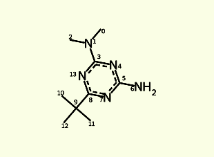 CN(C)c1nc(N)nc(C(C)(C)C)n1